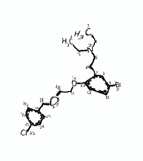 CCN(CC)CCc1cc(Br)ccc1OCCOCc1ccc(Cl)cc1